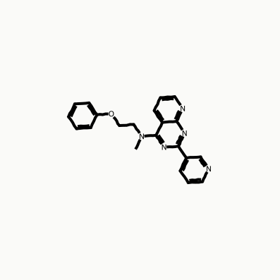 CN(CCOc1ccccc1)c1nc(-c2cccnc2)nc2ncccc12